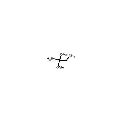 COC([SiH3])(CN)OC